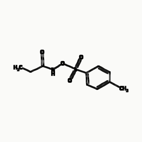 CCC(=O)NOS(=O)(=O)c1ccc(C)cc1